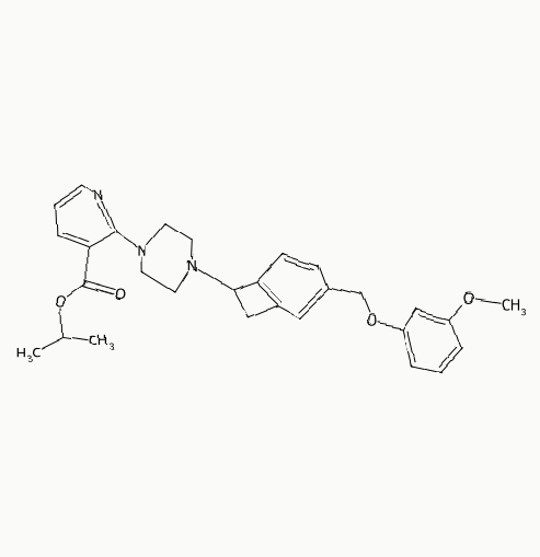 COc1cccc(OCc2ccc3c(c2)CC3N2CCN(c3ncccc3C(=O)OC(C)C)CC2)c1